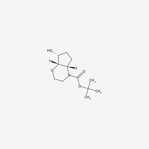 CC(C)(C)OC(=O)N1CCO[C@@H]2[C@H](O)CC[C@@H]21